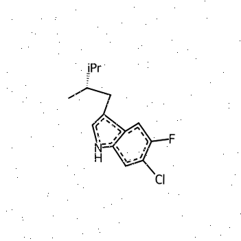 CC(C)[C@@H](C)Cc1c[nH]c2cc(Cl)c(F)cc12